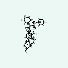 C[C@]12CCC(=O)C=C1CC[C@@H]1[C@H]2CC[C@]2(C)C(C(=O)N(C(=O)NC3CCCCC3)C3CCCCC3)CC[C@@H]12